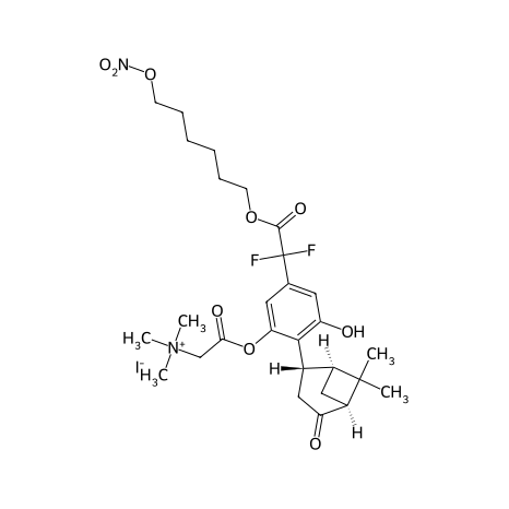 CC1(C)[C@@H]2C[C@H]1[C@@H](c1c(O)cc(C(F)(F)C(=O)OCCCCCCO[N+](=O)[O-])cc1OC(=O)C[N+](C)(C)C)CC2=O.[I-]